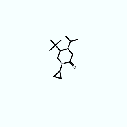 CC(C)N1CC(=O)N(C2CC2)CC1C(C)(C)C